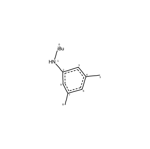 CCC(C)Nc1cc(C)cc(C)c1